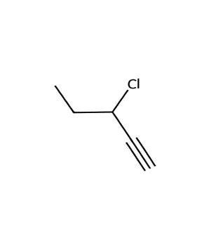 C#CC(Cl)CC